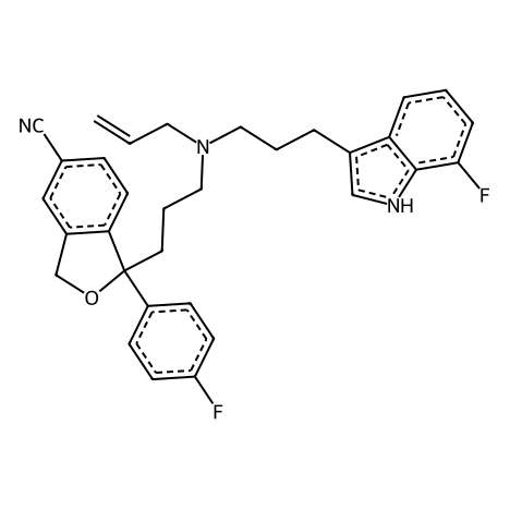 C=CCN(CCCc1c[nH]c2c(F)cccc12)CCCC1(c2ccc(F)cc2)OCc2cc(C#N)ccc21